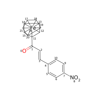 O=C(C=Cc1ccc([N+](=O)[O-])cc1)[C]12[CH]3[CH]4[CH]5[CH]1[Fe]45321678[CH]2[CH]1[CH]6[CH]7[CH]28